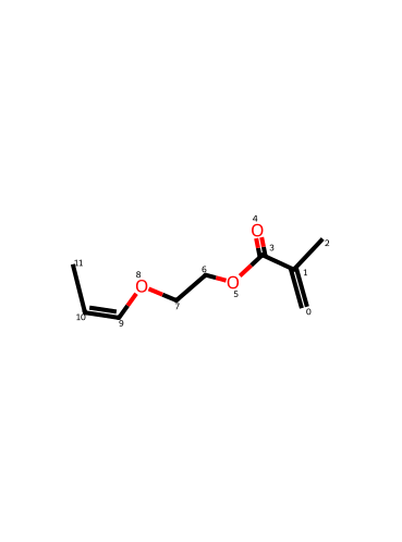 C=C(C)C(=O)OCCO/C=C\C